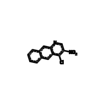 O=[N+]([O-])c1cnc2cc3ccccc3cc2c1Cl